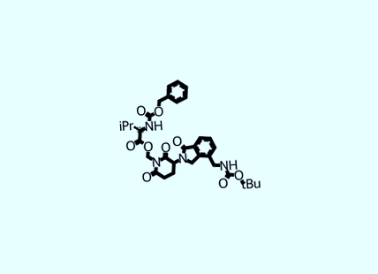 CC(C)[C@@H](NC(=O)OCc1ccccc1)C(=O)OCN1C(=O)CCC(N2Cc3c(CNC(=O)OC(C)(C)C)cccc3C2=O)C1=O